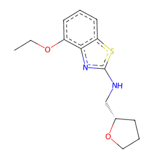 CCOc1cccc2sc(NC[C@@H]3CCCO3)nc12